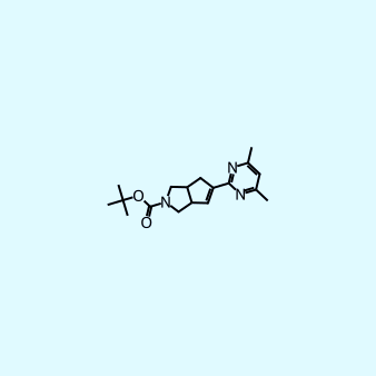 Cc1cc(C)nc(C2=CC3CN(C(=O)OC(C)(C)C)CC3C2)n1